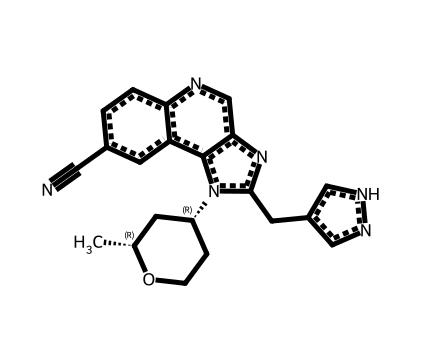 C[C@@H]1C[C@H](n2c(Cc3cn[nH]c3)nc3cnc4ccc(C#N)cc4c32)CCO1